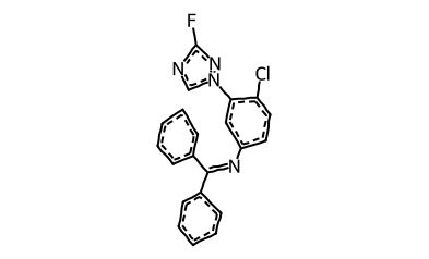 Fc1ncn(-c2cc(N=C(c3ccccc3)c3ccccc3)ccc2Cl)n1